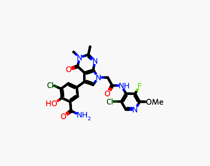 COc1ncc(Cl)c(NC(=O)Cn2cc(-c3cc(Cl)c(O)c(C(N)=O)c3)c3c(=O)n(C)c(C)nc32)c1F